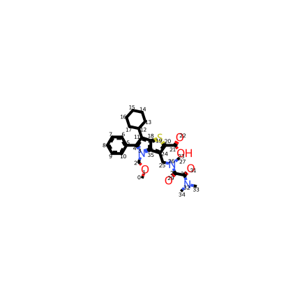 COCn1c(-c2ccccc2)c(C2CCCCC2)c2sc(C(=O)O)c(CN(C)C(=O)C(=O)N(C)C)c21